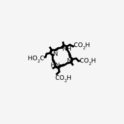 CC1=C(CCC(=O)O)c2cc3[nH]c(cc4nc(cc5[nH]c(cc1n2)c(C)c5CCC(=O)O)C(CCC(=O)O)=C4C)c(CCC(=O)O)c3C